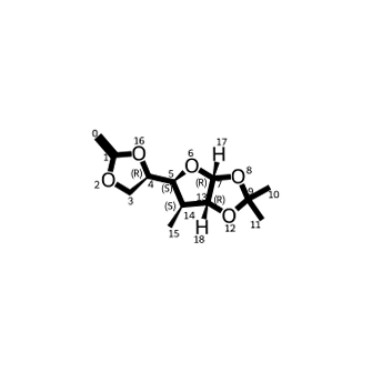 C=C1OC[C@H]([C@H]2O[C@@H]3OC(C)(C)O[C@@H]3[C@H]2C)O1